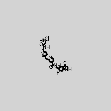 O=C(CNCl)NCc1ccc(Cc2cc(C(=O)NCc3cc4c(Cl)c[nH]c4cc3F)ccn2)cn1